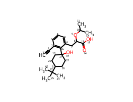 C#Cc1cccc(CC(OC(C)C)C(=O)O)c1C1(O)CCC(C(C)(C)C)CC1